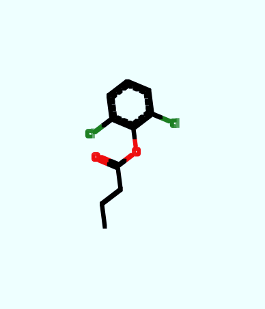 CCCC(=O)Oc1c(Cl)cccc1Cl